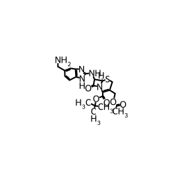 CC(=O)OCC1=C(C(=O)OC(C)(C)C)N2C(=O)C(Nc3nc4cc(CN)ccc4[nH]3)[C@H]2SC1